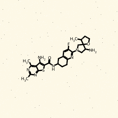 Cc1nc(C)c2c(N)c(C(=O)NC3CCc4nc(N5CC(N)C6(C5)OCCC6C)c(F)cc4C3)sc2n1